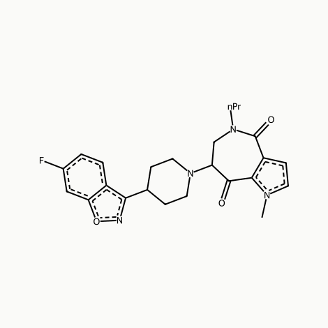 CCCN1CC(N2CCC(c3noc4cc(F)ccc34)CC2)C(=O)c2c(ccn2C)C1=O